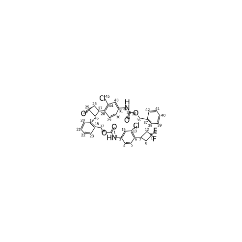 O=C(Nc1ccc(C2CC(F)(F)C2)c(Cl)c1)OCc1ccccc1.O=C1CC(c2ccc(NC(=O)OCc3ccccc3)cc2Cl)C1